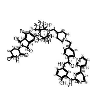 [2H]C1([2H])N(CC2CCN(Cc3ccc(C(=O)Nc4ccc(C)c(Nc5nccc(-c6cccnc6)n5)c4)cc3)CC2)C([2H])([2H])C([2H])([2H])N(c2cc(F)c3c(c2)C(=O)N(C2CCC(=O)NC2=O)C3=O)C1([2H])[2H]